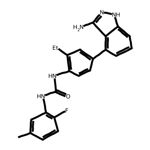 CCc1cc(-c2cccc3[nH]nc(N)c23)ccc1NC(=O)Nc1cc(C)ccc1F